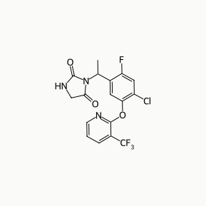 CC(c1cc(Oc2ncccc2C(F)(F)F)c(Cl)cc1F)N1C(=O)CNC1=O